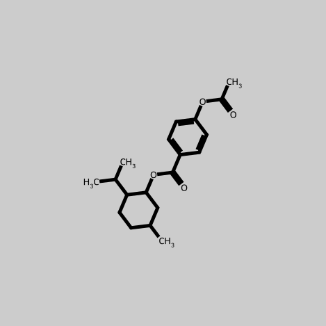 CC(=O)Oc1ccc(C(=O)OC2CC(C)CCC2C(C)C)cc1